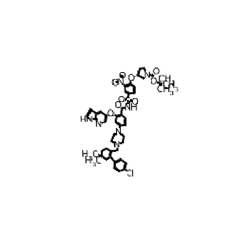 CC1(C)CCC(CN2CCN(c3ccc(C(=O)NS(=O)(=O)c4ccc(O[C@@H]5CCN(C(=O)OC(C)(C)C)C5)c([N+](=O)[O-])c4)c(Oc4cnc5[nH]ccc5c4)c3)CC2)=C(c2ccc(Cl)cc2)C1